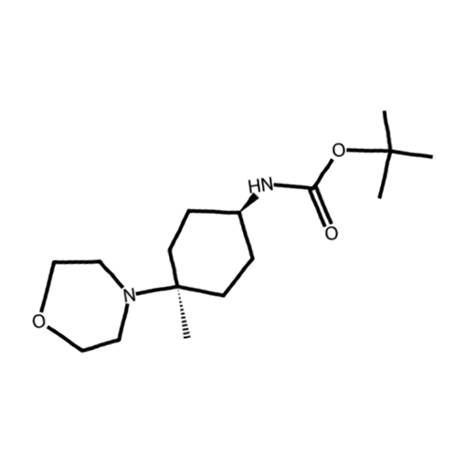 CC(C)(C)OC(=O)N[C@H]1CC[C@@](C)(N2CCOCC2)CC1